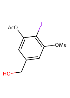 COc1cc(CO)cc(OC(C)=O)c1I